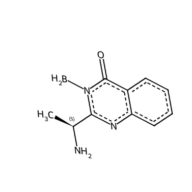 Bn1c([C@H](C)N)nc2ccccc2c1=O